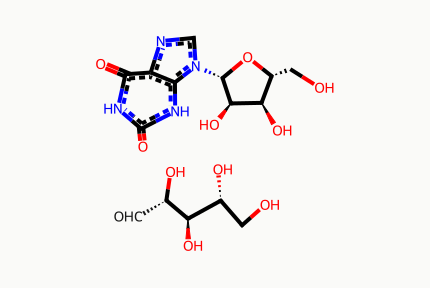 O=C[C@H](O)[C@H](O)[C@H](O)CO.O=c1[nH]c(=O)c2ncn([C@@H]3O[C@H](CO)[C@@H](O)[C@H]3O)c2[nH]1